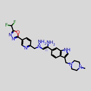 CN1CCN(Cc2c[nH]c3cc(/C(N)=C/N(N)Cc4ccc(-c5nnc(C(F)F)o5)cn4)ccc23)CC1